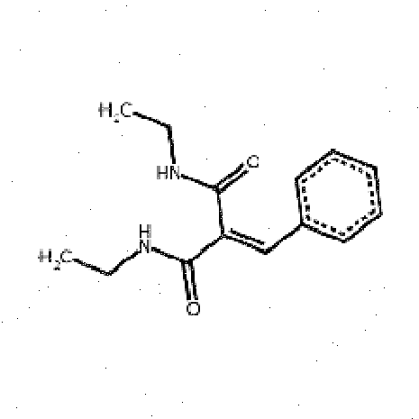 [CH2]CNC(=O)C(=Cc1ccccc1)C(=O)NC[CH2]